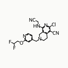 N#CCNc1nc(Cl)c(C#N)c2c1CN(Cc1ccnc(OCC(F)F)c1)CC2